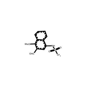 COc1c(C=O)cc(NS(=O)(=O)C(F)(F)F)c2ccccc12